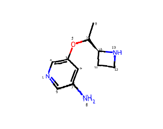 CC(Oc1cncc(N)c1)[C@@H]1CCN1